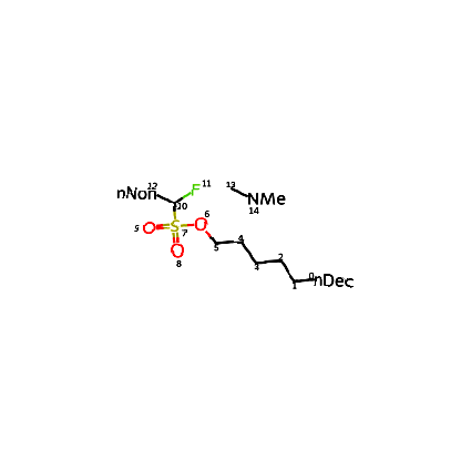 CCCCCCCCCCCCCCCOS(=O)(=O)C(F)CCCCCCCCC.CNC